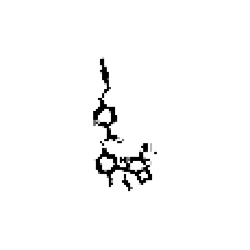 CC#CCOc1ccc(C(=O)Nc2ccc(F)c([C@@](CF)(NC(N)=O)C3CCC3)c2)nc1